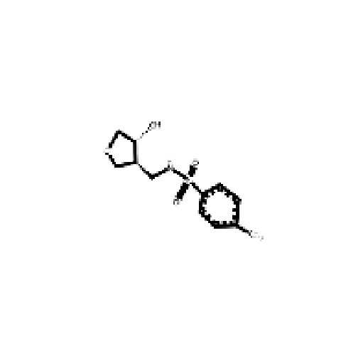 Cc1ccc(S(=O)(=O)NC[C@H]2COC[C@@H]2O)cc1